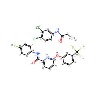 CCC(=O)Nc1ccc(Cl)c(Cl)c1.O=C(Nc1ccc(F)cc1)c1cccc(Oc2cccc(C(F)(F)F)c2)n1